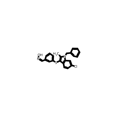 Cc1c(Sc2cccc(/C=N\O)c2)c2ccc(Cl)cc2n1Cc1ccccc1